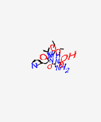 CCOC(CN(C(=O)C(Cc1cccnc1)NC(=O)C(CN)NC(=O)O)C(C)C)OCC